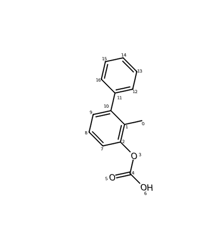 Cc1c(OC(=O)O)cccc1-c1ccccc1